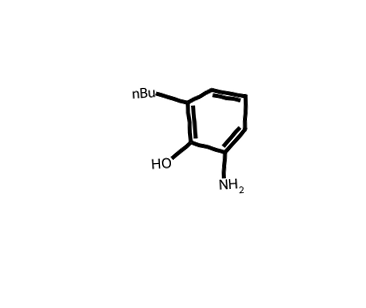 CCCCc1cccc(N)c1O